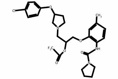 Cc1ccc(NC(=O)N2CCCC2)c(OCC(CN2CCC(Oc3ccc(Cl)cc3)C2)OC(=O)C(F)(F)F)c1